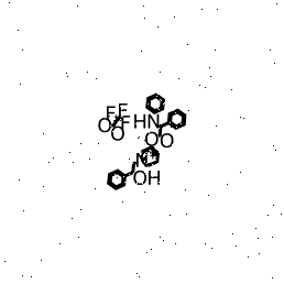 O=C(OC1C[N+]2(CC(O)c3ccccc3)CCC1CC2)C(Nc1ccccc1)c1ccccc1.O=C([O-])C(F)(F)F